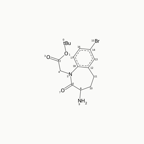 CC(C)(C)OC(=O)CN1C(=O)C(N)CCc2cc(Br)ccc21